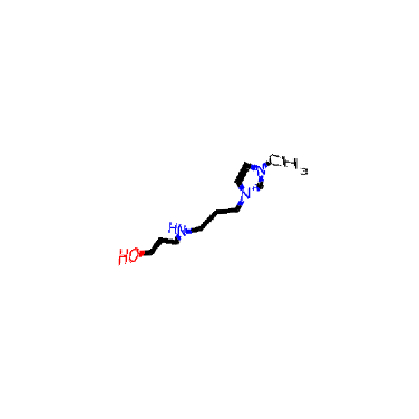 Cn1cc[n+](CCCNCCCO)c1